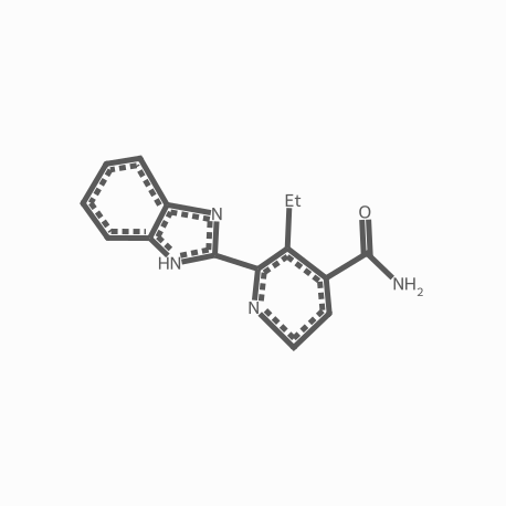 CCc1c(C(N)=O)ccnc1-c1nc2ccccc2[nH]1